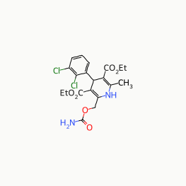 CCOC(=O)C1=C(C)NC(COC(N)=O)=C(C(=O)OCC)C1c1cccc(Cl)c1Cl